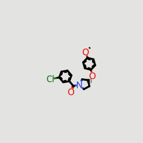 COc1ccc(O[C@@H]2CCN(C(=O)c3cccc(Cl)c3)C2)cc1